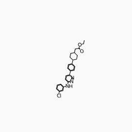 CCOC(=O)CC1CCC(c2ccc(-c3ccc(Nc4cccc(Cl)c4)nn3)cc2)CC1